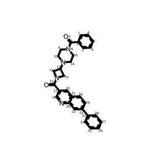 O=C(c1ccccc1)N1CCN(C2CN(C(=O)c3cnc4cc(-c5ccccc5)ccc4c3)C2)CC1